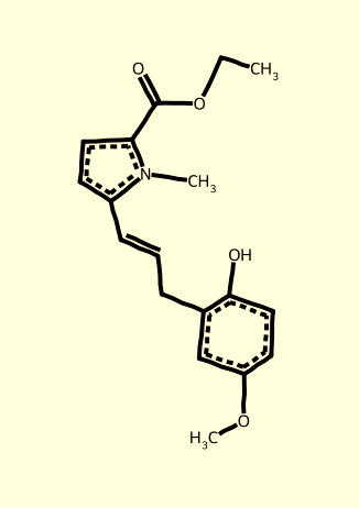 CCOC(=O)c1ccc(C=CCc2cc(OC)ccc2O)n1C